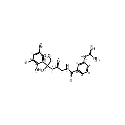 CCC(CC(=O)O)(NC(=O)CNC(=O)c1cccc(NC(=N)N)c1)c1cc(Br)cc(Br)c1O